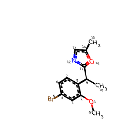 COc1cc(Br)ccc1C(C)c1ncc(C)o1